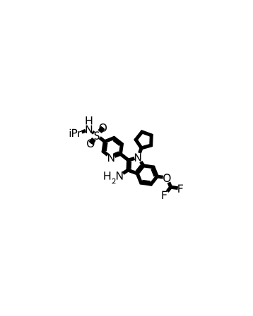 CC(C)NS(=O)(=O)c1ccc(-c2c(N)c3ccc(OC(F)F)cc3n2C2CCCC2)nc1